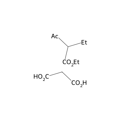 CCOC(=O)C(CC)C(C)=O.O=C(O)CC(=O)O